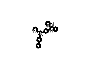 c1ccc(-c2ccc(-c3nc(-c4ccc(-c5nc6ccccc6c6nc7ccccn7c56)cc4)cc(-c4ccccn4)n3)cc2)cc1